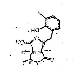 C[C@@H]1OC(=O)[C@@H]2[C@H]1C(O)ON2Cc1cccc(I)c1O